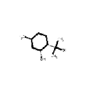 C[C@H]1CC[C@H](C(C)(C)O)[C@H](O)C1